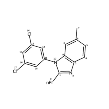 CCCc1nc2ccc(C)cc2n1-c1cc(Cl)cc(Cl)c1